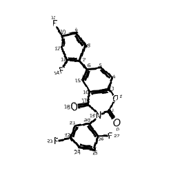 O=c1oc2ccc(-c3ccc(F)cc3F)cc2c(=O)n1-c1cc(F)ccc1F